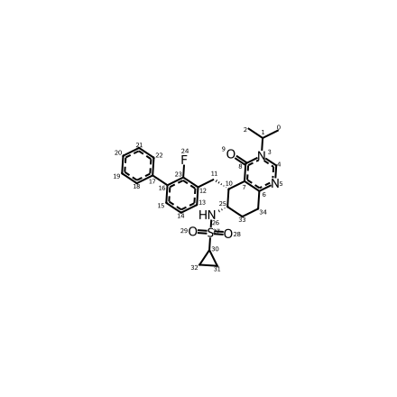 CC(C)n1cnc2c(c1=O)[C@@H](Cc1cccc(-c3ccccc3)c1F)[C@@H](NS(=O)(=O)C1CC1)CC2